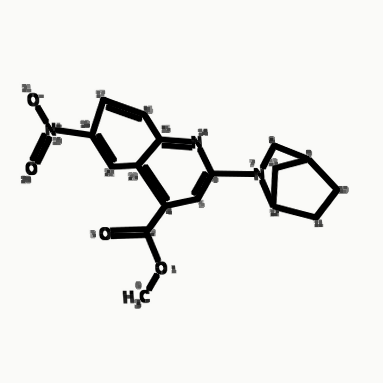 COC(=O)c1cc(N2CC3CCC2C3)nc2ccc([N+](=O)[O-])cc12